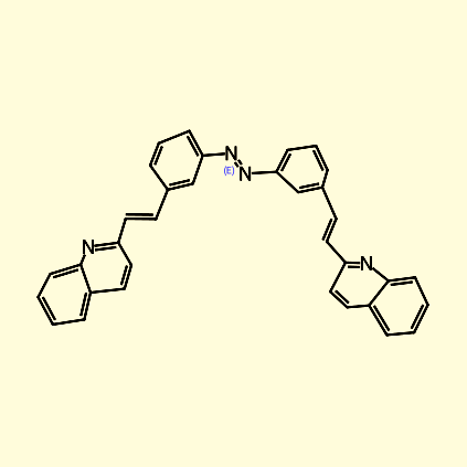 C(=Cc1ccc2ccccc2n1)c1cccc(/N=N/c2cccc(C=Cc3ccc4ccccc4n3)c2)c1